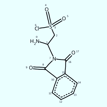 NC(CS(=O)(=O)Cl)N1C(=O)c2ccccc2C1=O